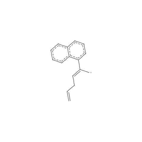 [CH2]C(=CCC=C)c1cccc2ccccc12